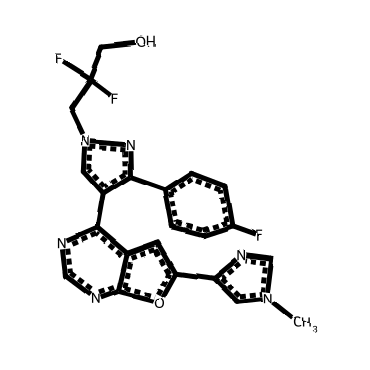 Cn1cnc(-c2cc3c(-c4cn(CC(F)(F)CO)nc4-c4ccc(F)cc4)ncnc3o2)c1